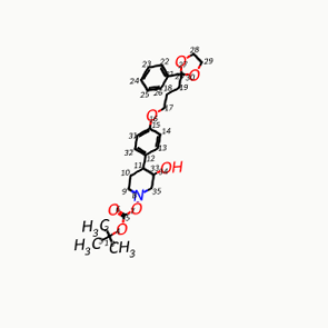 CC(C)(C)OC(=O)ON1CCC(c2ccc(OCCCC3(c4ccccc4)OCCO3)cc2)C(O)C1